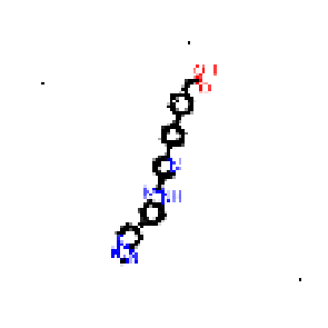 O=C(O)CC1CCC(c2ccc(-c3ccc(C4=NC5C=C(C6C=Cn7ncnc7C6)C=CC5N4)cn3)cc2)CC1